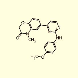 COc1ccc(Nc2nccc(-c3ccc4c(c3)N(C)C(=O)CO4)n2)cc1